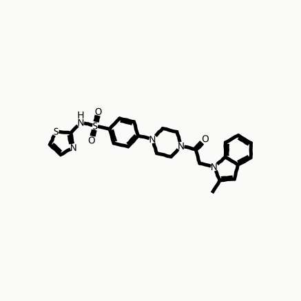 Cc1cc2ccccc2n1CC(=O)N1CCN(c2ccc(S(=O)(=O)Nc3nccs3)cc2)CC1